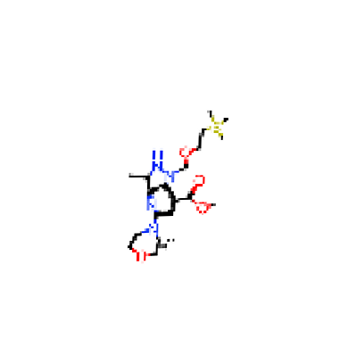 COC(=O)c1cc(N2CCOC[C@H]2C)nc2c1N(COCCS(C)(C)C)NC2C